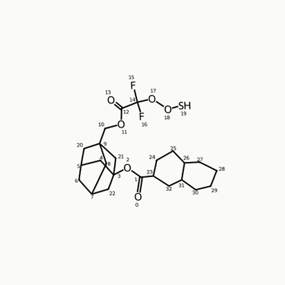 O=C(OC12CC3CC(CC(COC(=O)C(F)(F)OOS)(C3)C1)C2)C1CCC2CCCCC2C1